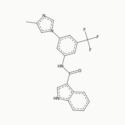 Cc1cn(-c2cc(NC(=O)c3c[nH]c4ccccc34)cc(C(F)(F)F)c2)cn1